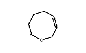 [C]1CCC/C=C\CO1